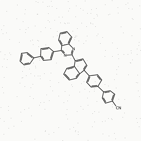 N#Cc1ccc(-c2ccc(-c3ccc(-c4nc(-c5ccc(-c6ccccc6)cc5)c5ccccc5n4)c4ccccc34)cc2)cc1